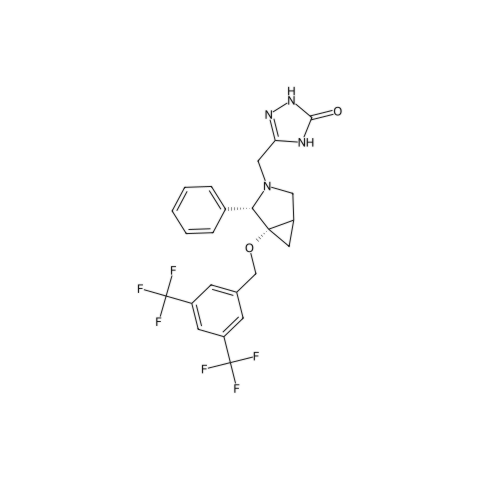 O=c1[nH]nc(CN2CC3C[C@@]3(OCc3cc(C(F)(F)F)cc(C(F)(F)F)c3)[C@@H]2c2ccccc2)[nH]1